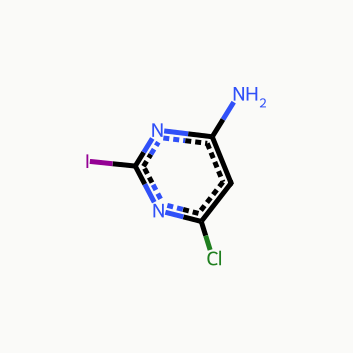 Nc1cc(Cl)nc(I)n1